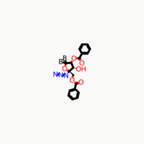 [N-]=[N+]=N[C@]1(COC(=O)c2ccccc2)OC2(B=B2)C(OC(=O)c2ccccc2)[C@@H]1O